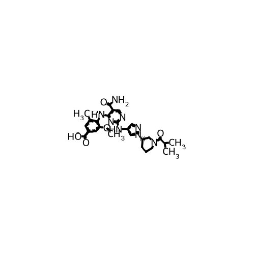 COc1cc(C(=O)O)cc(C)c1Nc1nc(Nc2cnn([C@@H]3CCCN(C(=O)C(C)C)C3)c2)ncc1C(N)=O